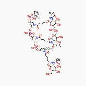 CC[C@@H]1C[C@@H](OP(=O)(O)OC[C@@H]2C[C@@H](OP(=O)(O)OC[C@@H]3C[C@@H](OP(=O)(O)OC(C)C)CN3C(=O)CCCCOC3OC(CO)C(O)C(O)C3NC(C)=O)CN2C(=O)CCCCOC2OC(CO)C(O)C(O)C2NC(C)=O)CN1C(=O)CCCCOC1OC(CO)C(O)C(O)C1NC(C)=O